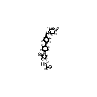 CC(=O)NC[C@H]1CN(c2ccc(-c3ccc(CN4CCN(C)CC4)cc3)cc2)C(=O)O1